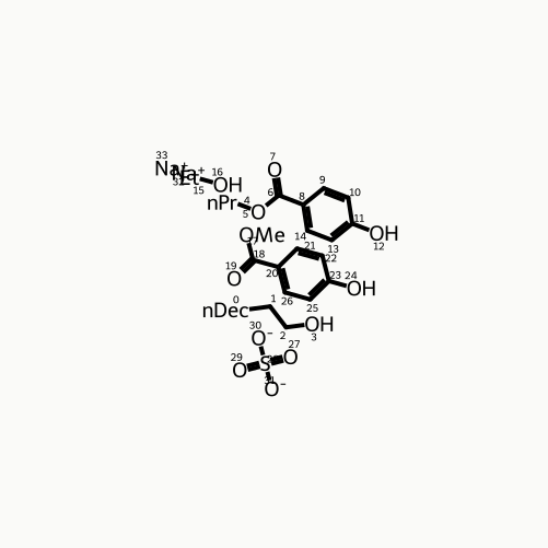 CCCCCCCCCCCCO.CCCOC(=O)c1ccc(O)cc1.CCO.COC(=O)c1ccc(O)cc1.O=S(=O)([O-])[O-].[Na+].[Na+]